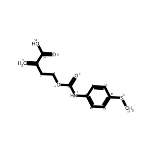 C=C(CCOC(=O)Nc1ccc(SC)cc1)C(=O)O